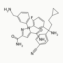 N#Cc1ccc(C(N)(CCC2CC2)c2ccc(F)c([N+]3(c4cccc(CN)c4)N=C(C(N)=O)C=C3C(N)=O)c2)cc1